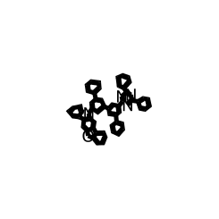 c1ccc(-c2cc(-c3cc(-c4ccccc4)cc(-n4c5ccccc5c5cc6oc7ccccc7c6cc54)c3)cc(-c3nc(-c4ccccc4)nc(-c4ccccc4)n3)c2)cc1